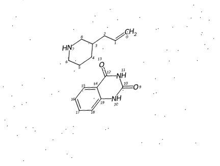 C=CCC1CCCNC1.O=c1[nH]c(=O)c2ccccc2[nH]1